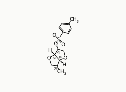 Cc1ccc(S(=O)(=O)O[C@H]2CO[C@H]3[C@@H]2OC[C@@H]3C)cc1